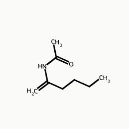 C=C(CCCC)NC(C)=O